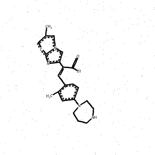 CCC(=O)/C(=C\c1ccc(N2CCCNCC2)cc1C)c1cn2cc(C)ccc2n1